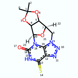 CC1(C)OC2C(O1)[C@H]1Cn3nnc4c(=S)[nH]c(=O)n(c43)[C@@H]2O1